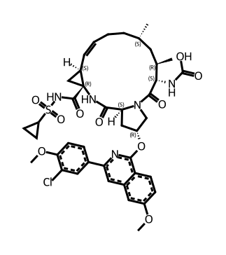 COc1ccc2c(O[C@@H]3C[C@H]4C(=O)N[C@]5(C(=O)NS(=O)(=O)C6CC6)C[C@H]5C=CCC[C@H](C)C[C@@H](C)[C@H](NC(=O)O)C(=O)N4C3)nc(-c3ccc(OC)c(Cl)c3)cc2c1